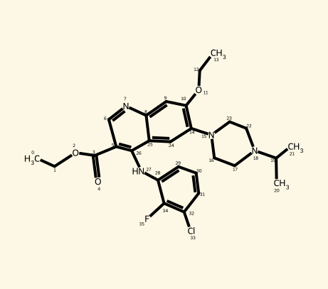 CCOC(=O)c1cnc2cc(OCC)c(N3CCN(C(C)C)CC3)cc2c1Nc1cccc(Cl)c1F